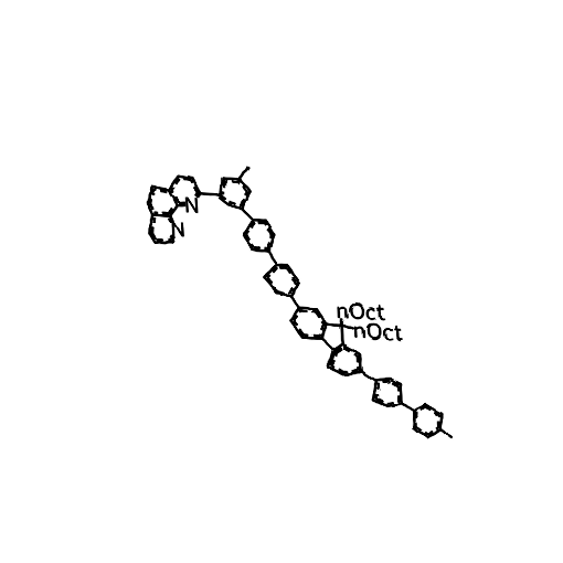 CCCCCCCCC1(CCCCCCCC)c2cc(-c3ccc(-c4ccc(C)cc4)cc3)ccc2-c2ccc(-c3ccc(-c4ccc(-c5cc(C)cc(-c6ccc7ccc8cccnc8c7n6)c5)cc4)cc3)cc21